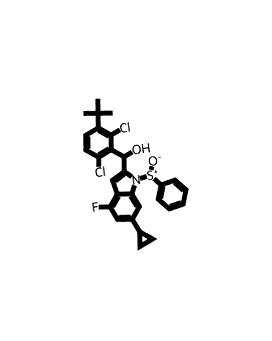 CC(C)(C)c1ccc(Cl)c(C(O)c2cc3c(F)cc(C4CC4)cc3n2[S+]([O-])c2ccccc2)c1Cl